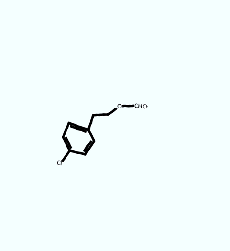 O=[C]OCCc1ccc(Cl)cc1